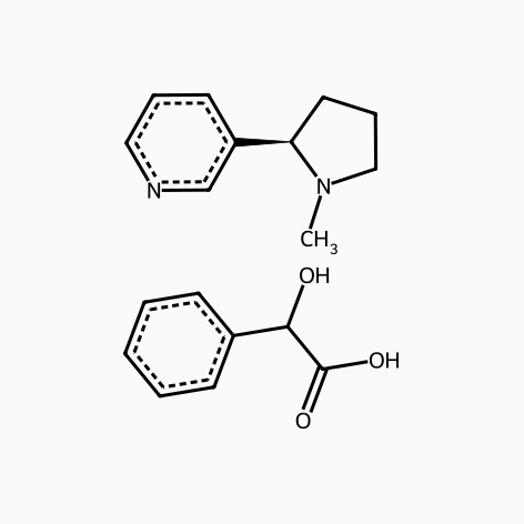 CN1CCC[C@@H]1c1cccnc1.O=C(O)C(O)c1ccccc1